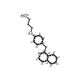 OCCCOc1ccc(Cc2nccc3ccccc23)cc1